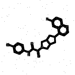 O=C(Nc1ccc(Cl)cc1)C(=O)N1CC2CC(c3ccnc4ccc(F)cc34)CC2C1